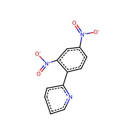 O=[N+]([O-])c1ccc(-c2ccccn2)c([N+](=O)[O-])c1